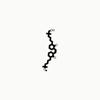 COC(C)(C)CCCCC1CCCC(/C=C\C2CCCC(CCCCC(C)(C)CO)C2=O)C1=O